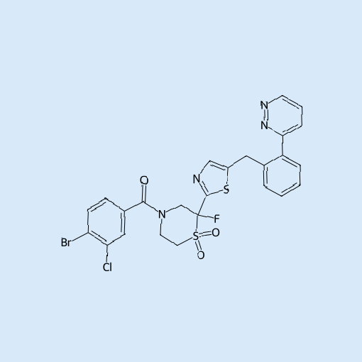 O=C(c1ccc(Br)c(Cl)c1)N1CCS(=O)(=O)C(F)(c2ncc(Cc3ccccc3-c3cccnn3)s2)C1